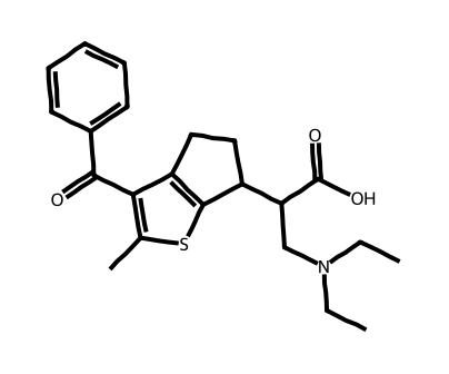 CCN(CC)CC(C(=O)O)C1CCc2c1sc(C)c2C(=O)c1ccccc1